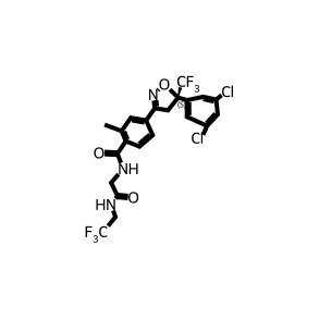 Cc1cc(C2=NO[C@@](c3cc(Cl)cc(Cl)c3)(C(F)(F)F)C2)ccc1C(=O)NCC(=O)NCC(F)(F)F